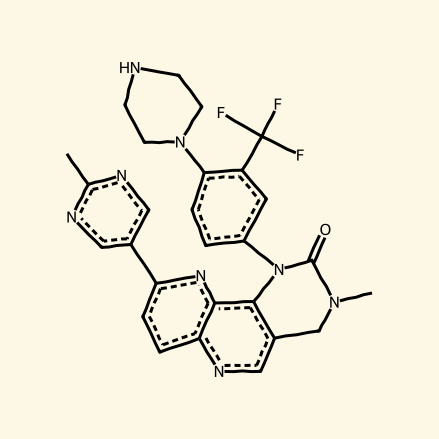 Cc1ncc(-c2ccc3ncc4c(c3n2)N(c2ccc(N3CCNCC3)c(C(F)(F)F)c2)C(=O)N(C)C4)cn1